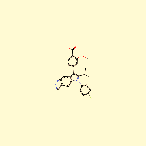 COc1cc(-c2c(C(C)C)n(-c3ccc(F)cc3)c3cc4cn[nH]c4cc23)ccc1C(=O)O